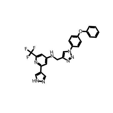 FC(F)(F)c1cc(NCc2cn(-c3ccc(Oc4ccccc4)cc3)nn2)cc(-c2cn[nH]c2)n1